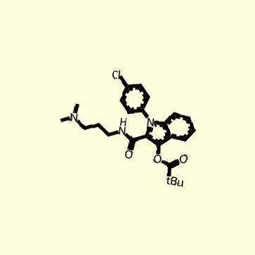 CN(C)CCCNC(=O)c1c(OC(=O)C(C)(C)C)c2ccccc2n1-c1ccc(Cl)cc1